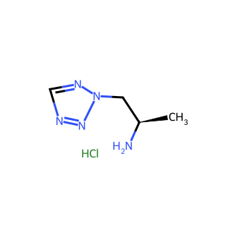 C[C@@H](N)Cn1ncnn1.Cl